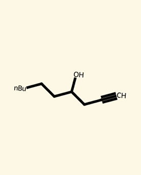 C#CCC(O)CCCCCC